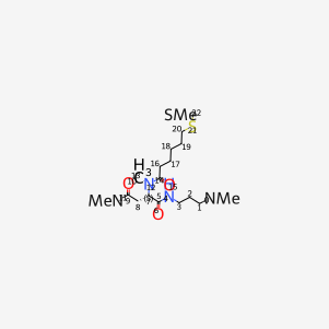 CNCCCNC(=O)[C@H](CC(=O)NC)N(C)C(=O)CCCCCSSC